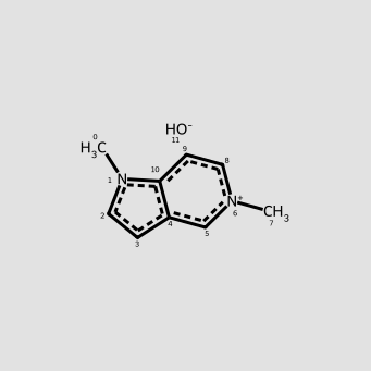 Cn1ccc2c[n+](C)ccc21.[OH-]